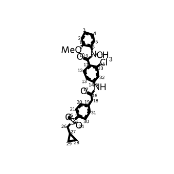 COc1ccccc1N(C)C(=O)c1ccc(NC(=O)Cc2ccc(S(=O)(=O)CC3CC3)cc2)cc1Cl